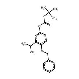 CC(C)c1cc(OC(=O)CC(C)(C)C)ccc1OCc1ccccc1